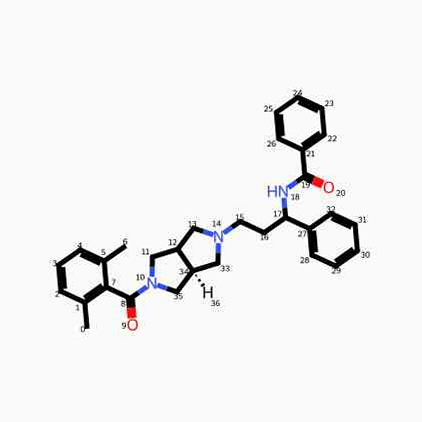 Cc1cccc(C)c1C(=O)N1CC2CN(CCC(NC(=O)c3ccccc3)c3ccccc3)C[C@H]2C1